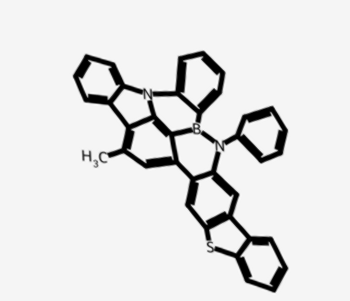 Cc1cc2c3c4c1c1ccccc1n4-c1ccccc1B3N(c1ccccc1)c1cc3c(cc1-2)sc1ccccc13